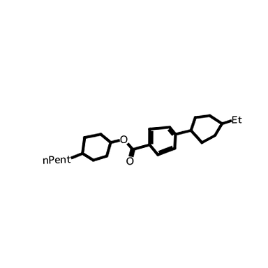 CCCCCC1CCC(OC(=O)c2ccc(C3CCC(CC)CC3)cc2)CC1